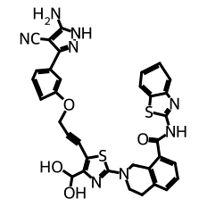 N#Cc1c(-c2cccc(OCC#Cc3sc(N4CCc5cccc(C(=O)Nc6nc7ccccc7s6)c5C4)nc3C(O)O)c2)n[nH]c1N